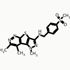 Cc1nnc2sc3c(NCc4ccc(S(C)(=O)=O)cc4)nn(C)c3c2c1C